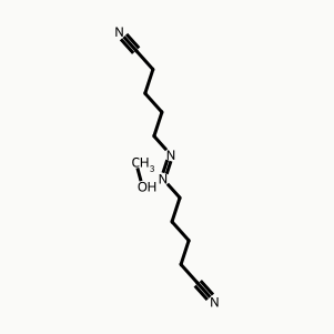 CO.N#CCCCCN=NCCCCC#N